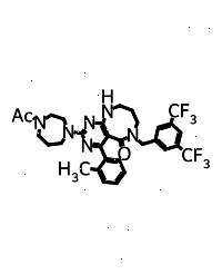 CC(=O)N1CCCN(c2nc3c(c(-c4ccccc4C)n2)C(=O)N(Cc2cc(C(F)(F)F)cc(C(F)(F)F)c2)CCCN3)CC1